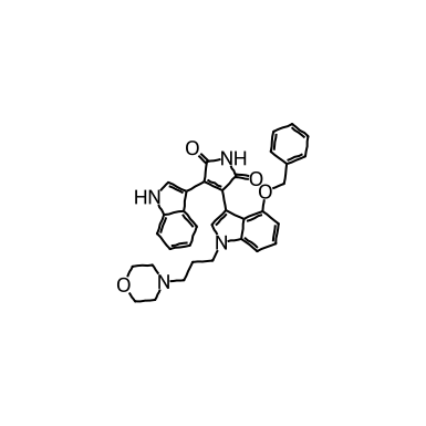 O=C1NC(=O)C(c2cn(CCCN3CCOCC3)c3cccc(OCc4ccccc4)c23)=C1c1c[nH]c2ccccc12